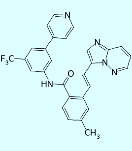 Cc1ccc(C(=O)Nc2cc(-c3ccncc3)cc(C(F)(F)F)c2)c(C=Cc2cnc3cccnn23)c1